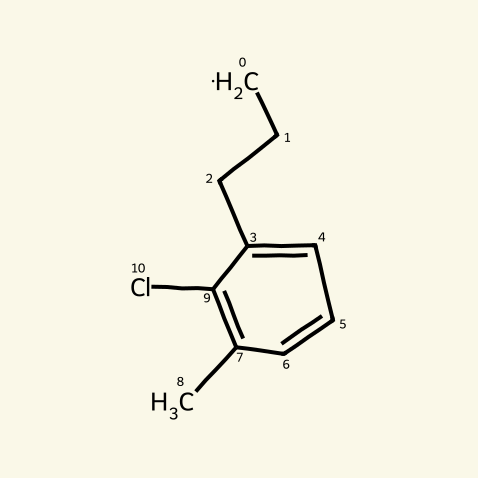 [CH2]CCc1cccc(C)c1Cl